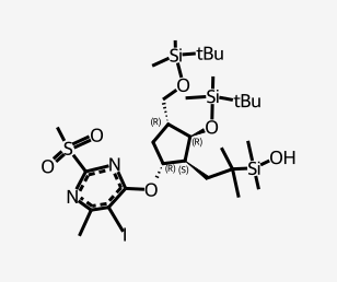 Cc1nc(S(C)(=O)=O)nc(O[C@@H]2C[C@H](CO[Si](C)(C)C(C)(C)C)[C@@H](O[Si](C)(C)C(C)(C)C)[C@H]2CC(C)(C)[Si](C)(C)O)c1I